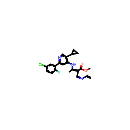 C=C/N=C\C(C(=O)OC)=C(/C)Nc1cc(-c2cc(Cl)ccc2F)ncc1C1CC1